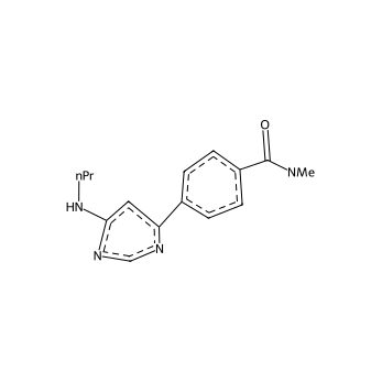 CCCNc1cc(-c2ccc(C(=O)NC)cc2)ncn1